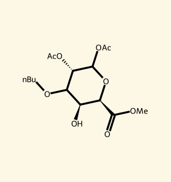 CCCCOC1[C@H](OC(C)=O)C(OC(C)=O)O[C@@H](C(=O)OC)[C@H]1O